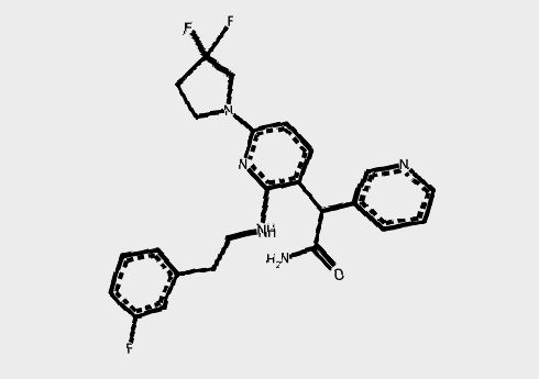 NC(=O)C(c1cccnc1)c1ccc(N2CCC(F)(F)C2)nc1NCCc1cccc(F)c1